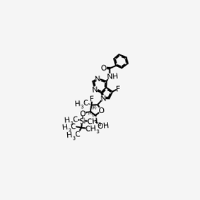 CC(C)(C)[Si](C)(C)O[C@@H]1[C@@H](CO)OC(n2cc(F)c3c(NC(=O)c4ccccc4)ncnc32)[C@]1(C)F